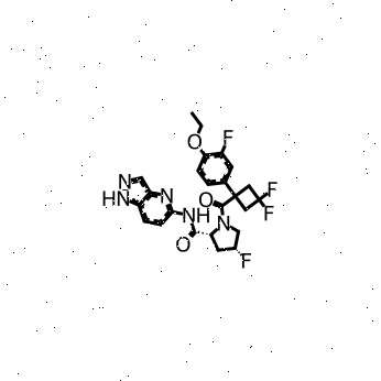 CCOc1ccc(C2(C(=O)N3C[C@H](F)C[C@@H]3C(=O)Nc3ccc4[nH]ncc4n3)CC(F)(F)C2)cc1F